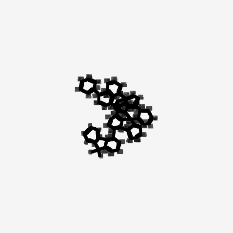 CC1(C)c2ccccc2-c2c(-c3ccc(N(c4ccc(-c5ccccc5)cc4)c4ccccc4-c4ccccc4)c4c3-c3ccccc3C43c4ccccc4Sc4ccccc43)cccc21